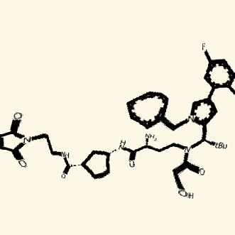 CC(C)(C)[C@H](c1cc(-c2cc(F)ccc2F)cn1Cc1ccccc1)N(CC[C@H](N)C(=O)N[C@@H]1CC[C@H](C(=O)NCCN2C(=O)C=CC2=O)C1)C(=O)CO